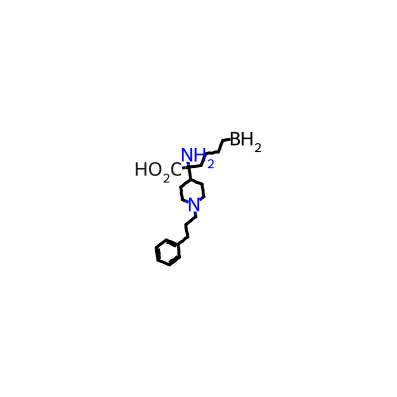 BCCCCC(N)(C(=O)O)C1CCN(CCCc2ccccc2)CC1